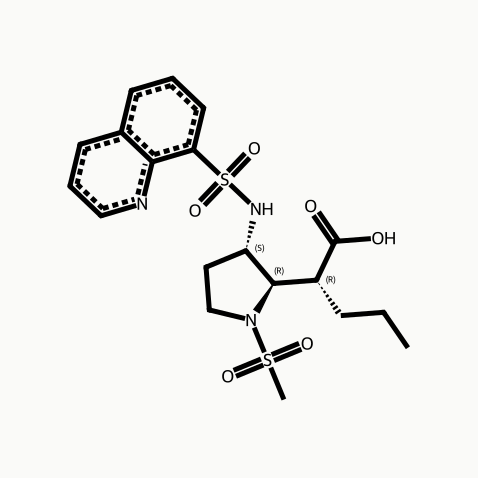 CCC[C@@H](C(=O)O)[C@@H]1[C@@H](NS(=O)(=O)c2cccc3cccnc23)CCN1S(C)(=O)=O